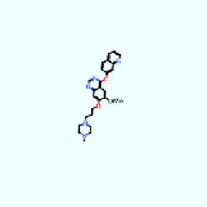 COc1cc2c(Oc3ccc4cccnc4c3)ncnc2cc1OCCCN1CCN(C)CC1